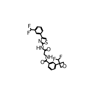 O=C(CNC(=O)c1cccc(C2(C(F)F)COC2)c1)Nc1nc(-c2cccc(C(F)F)c2)cs1